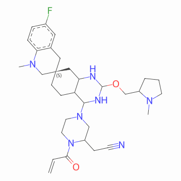 C=CC(=O)N1CCN(C2NC(OCC3CCCN3C)NC3C[C@]4(CCC32)Cc2cc(F)ccc2N(C)C4)CC1CC#N